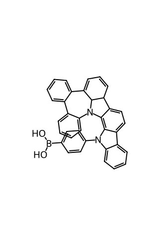 OB(O)c1ccc(-n2c3ccccc3c3ccc4c(c32)N2c3ccccc3-c3ccccc3C3=CC=CC4C32)cc1